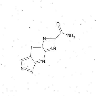 NC(=O)C1=Nc2cc3c(nc2=N1)N=NC=3